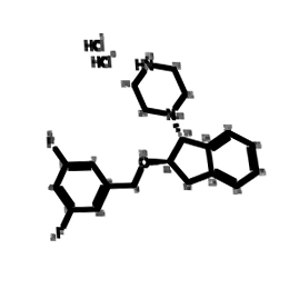 Cl.Cl.Fc1cc(F)cc(CO[C@@H]2Cc3ccccc3[C@H]2N2CCNCC2)c1